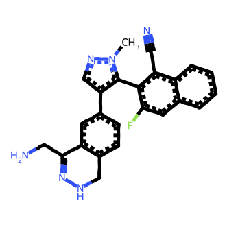 Cn1ncc(-c2ccc3c(c2)C(CN)=NNC3)c1-c1c(F)cc2ccccc2c1C#N